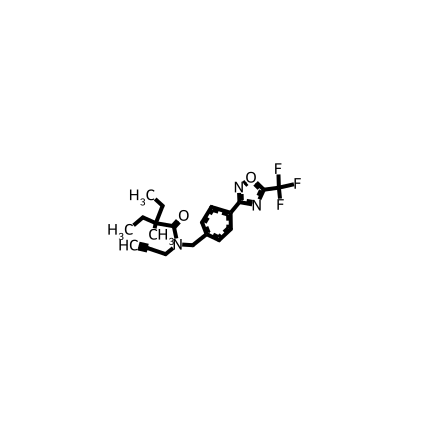 C#CCN(Cc1ccc(-c2noc(C(F)(F)F)n2)cc1)C(=O)C(C)(CC)CC